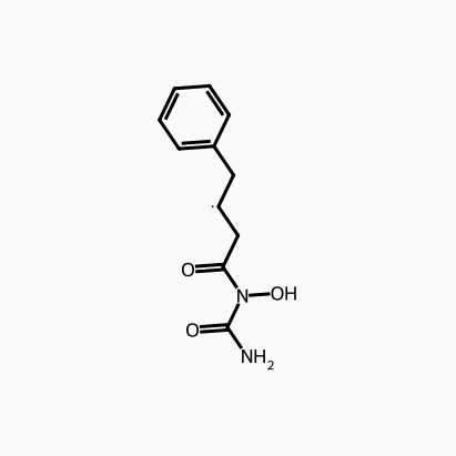 NC(=O)N(O)C(=O)C[CH]Cc1ccccc1